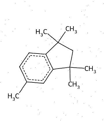 Cc1ccc2c(c1)C(C)(C)CC2(C)C